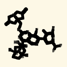 C=C1CN2CC(=C)CC2(COc2nc(N3C[C@H]4CC[C@@H](C3)N4C(=O)O)c3cnc(-c4cc(C(F)F)cc(F)c4C)c(F)c3n2)C1